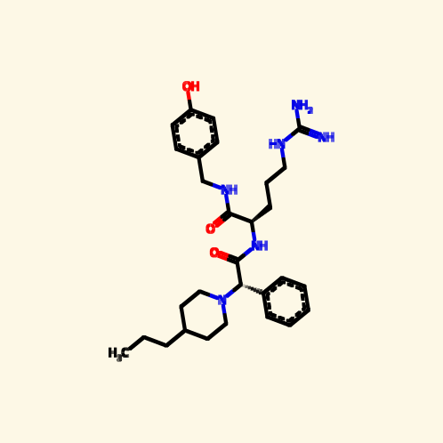 CCCC1CCN([C@H](C(=O)N[C@H](CCCNC(=N)N)C(=O)NCc2ccc(O)cc2)c2ccccc2)CC1